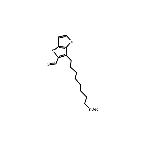 CCCCCCCCCCCCCCCCCCc1c(C=S)sc2ccsc12